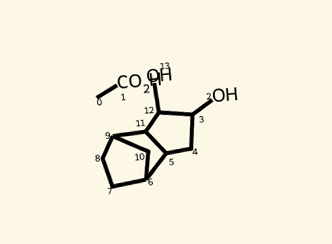 CC(=O)O.OC1CC2C3CCC(C3)C2C1O